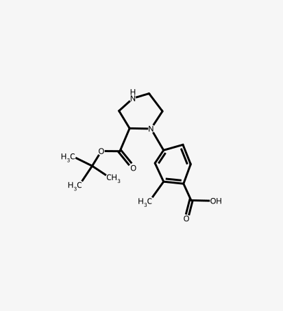 Cc1cc(N2CCNCC2C(=O)OC(C)(C)C)ccc1C(=O)O